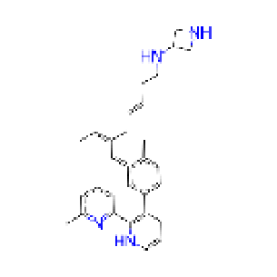 C=c1ccc(C2=C(c3cccc(C)n3)NC=CC2)c/c1=C/C(=C\C)C/C=C/CCNC1CNC1